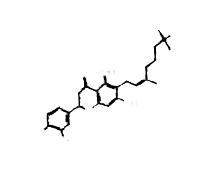 CC(=CCc1c(O)cc2c(c1O)C(=O)CC(c1ccc(O)c(O)c1)O2)CCCC(C)(C)O